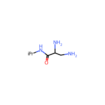 CC(C)NC(=O)C(N)CN